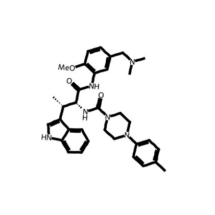 COc1ccc(CN(C)C)cc1NC(=O)[C@H](NC(=O)N1CCN(c2ccc(C)cc2)CC1)[C@@H](C)c1c[nH]c2ccccc12